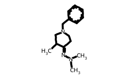 CC1CN(Cc2ccccc2)CCC1=NN(C)C